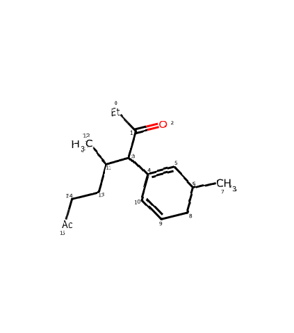 CCC(=O)C(C1=CC(C)CC=C1)C(C)CCC(C)=O